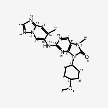 CO[C@H]1CC[C@@H](n2c(=O)n(C)c3cnc(Nc4cn5ncnc5cc4C)nc32)CC1